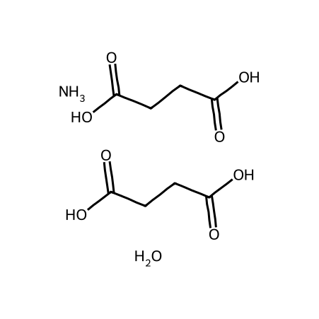 N.O.O=C(O)CCC(=O)O.O=C(O)CCC(=O)O